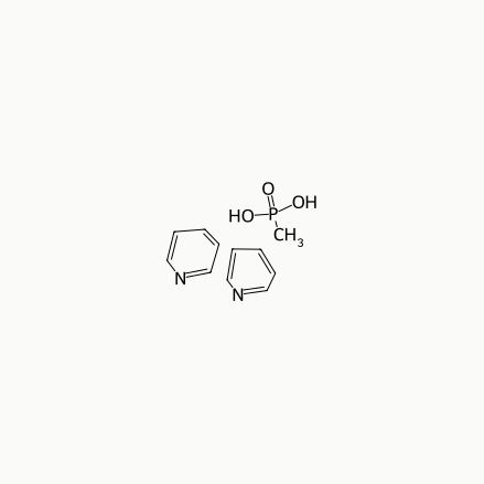 CP(=O)(O)O.c1ccncc1.c1ccncc1